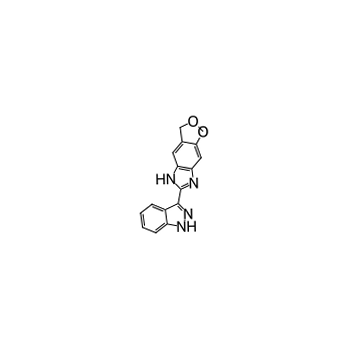 c1ccc2c(-c3nc4cc5c(cc4[nH]3)COO5)n[nH]c2c1